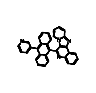 c1cncc(-c2c3ccccc3c(-c3nc4ccccc4c4nc5ccccn5c34)c3ccccc23)c1